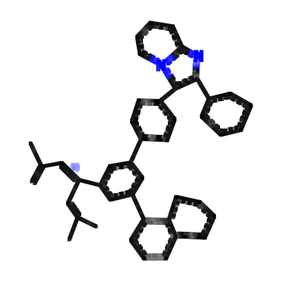 C=C(C)/C=C(\C=C(C)C)c1cc(-c2ccc(-c3c(-c4ccccc4)nc4ccccn34)cc2)cc(-c2cccc3ccccc23)c1